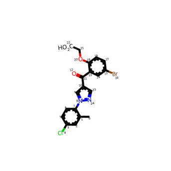 Cc1cc(Cl)ccc1-n1cc(C(=O)c2cc(Br)ccc2OCC(=O)O)cn1